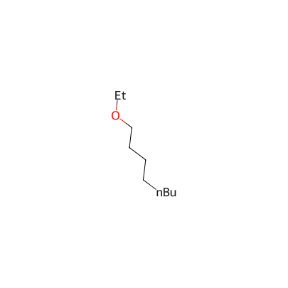 [CH2]CCCCCCCOC[CH2]